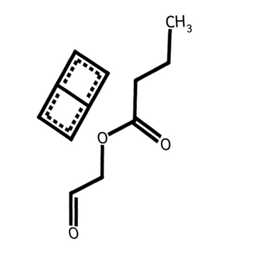 CCCC(=O)OCC=O.c1cc2ccc1-2